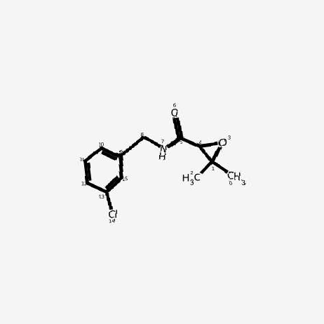 CC1(C)OC1C(=O)NCc1cccc(Cl)c1